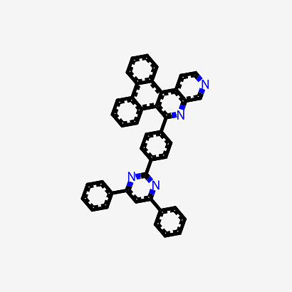 c1ccc(-c2cc(-c3ccccc3)nc(-c3ccc(-c4nc5cnccc5c5c6ccccc6c6ccccc6c45)cc3)n2)cc1